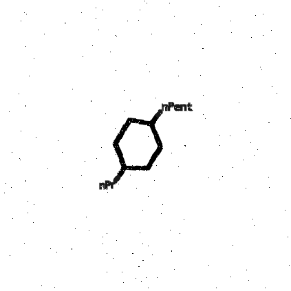 [CH2]CCC1CCC(CCCCC)CC1